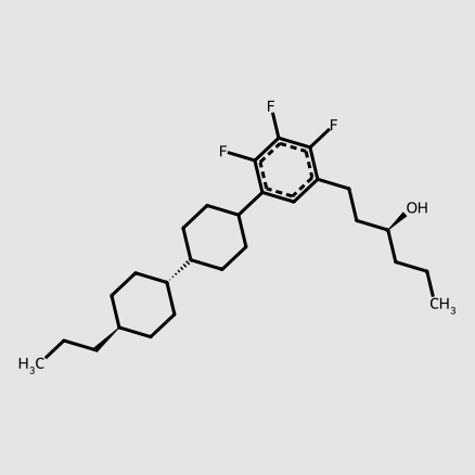 CCC[C@H](O)CCc1cc(C2CCC([C@H]3CC[C@H](CCC)CC3)CC2)c(F)c(F)c1F